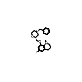 CN1CCCc2cc(F)cc(OC[C@@H]3CN(Cc4ccccc4)CCO3)c21